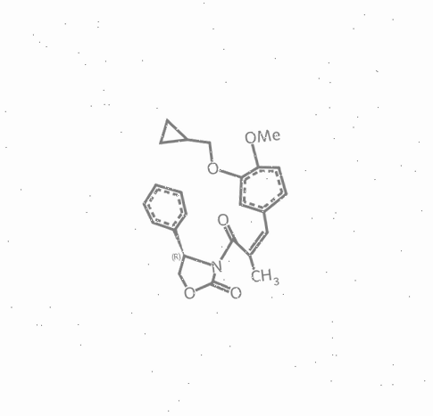 COc1ccc(C=C(C)C(=O)N2C(=O)OC[C@H]2c2ccccc2)cc1OCC1CC1